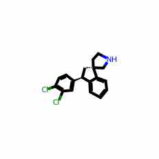 Clc1ccc([C@H]2C[C@@]3(CCNC3)c3ccccc32)cc1Cl